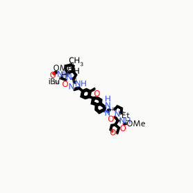 CC[C@H]1CC[C@@H](c2nc3ccc4cc5c(cc4c3[nH]2)OCc2cc(-c3cnc([C@@H]4C[C@@H]6C[C@@H](C)CC[C@@H]6N4C(=O)[C@@H](NC(=O)OC)[C@@H](C)CC)[nH]3)ccc2-5)N1C(=O)[C@@H](NC(=O)OC)C1CCOCC1